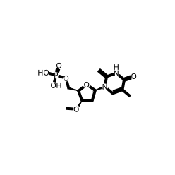 C=C1NC(=O)C(C)=CN1[C@H]1C[C@@H](OC)[C@@H](COP(=O)(O)O)O1